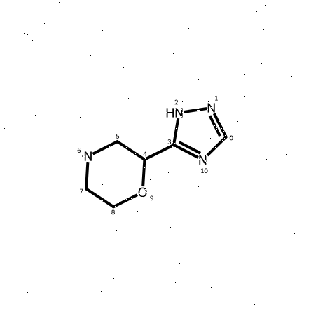 c1n[nH]c(C2C[N]CCO2)n1